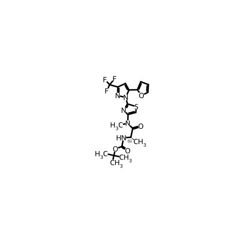 C[C@H](NC(=O)OC(C)(C)C)C(=O)N(C)c1csc(-n2nc(C(F)(F)F)cc2-c2ccco2)n1